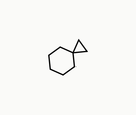 [CH]1CCCCC12CC2